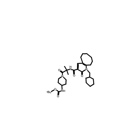 CC(C)(C)OC(=O)NC1CCN(C(=O)C(C)(C)NC(=O)c2cc3c(n(CC4CCCCC4)c2=O)CCCCCC3)CC1